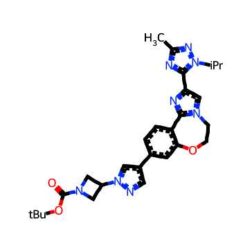 Cc1nc(-c2cn3c(n2)-c2ccc(-c4cnn(C5CN(C(=O)OC(C)(C)C)C5)c4)cc2OCC3)n(C(C)C)n1